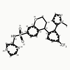 Cn1nccc1-c1cc(C(F)(F)F)ccc1C1CCOc2cc(S(=O)(=O)Nc3cnccn3)ccc21